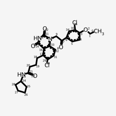 CCOc1ccc(C(=O)Cn2c(=O)[nH]c(=O)c3c(CCCC(=O)NC4CCCC4)c(Cl)ccc32)cc1Cl